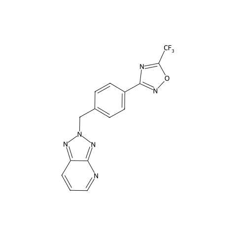 FC(F)(F)c1nc(-c2ccc(Cn3nc4cccnc4n3)cc2)no1